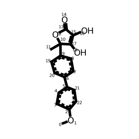 COc1ccc(-c2ccc(C3(C)OC(=O)C(O)=C3O)cc2)cc1